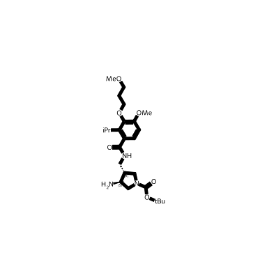 COCCCOc1c(OC)ccc(C(=O)NC[C@@H]2CN(C(=O)OC(C)(C)C)C[C@H]2N)c1C(C)C